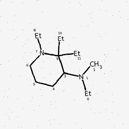 CCN(C)C1CCCN(CC)C1(CC)CC